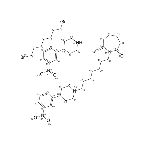 BrCCCCCCCBr.O=C1CCCCC(=O)N1CCCCCCCN1CCC(c2cccc([N+](=O)[O-])c2)CC1.O=[N+]([O-])c1cccc(C2CCNCC2)c1